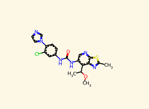 COC(C)c1c(NC(=O)Nc2ccc(-n3ccnc3)c(Cl)c2)cnc2sc(C)nc12